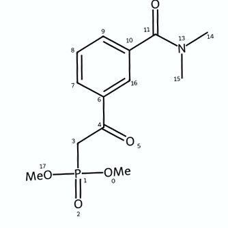 COP(=O)(CC(=O)c1cccc(C(=O)N(C)C)c1)OC